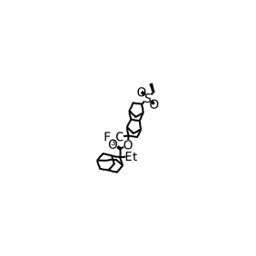 C=CS(=O)(=O)C1CC2CC1C1C3CC(C21)C(OC(=O)C1(CC)C2CC4CC(C2)CC1C4)(C(F)(F)F)C3